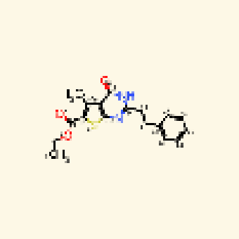 CCOC(=O)c1sc2nc(CCc3ccccc3)[nH]c(=O)c2c1C